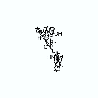 Cc1c(C)c(S(=O)(=O)NC(=N)NCCC[C@H](N)C(=O)NCC(=O)N[C@@H](CC(=O)OC(C)(C)C)C(=O)N[C@H](C(=O)N2CCC[C@H]2C(=O)O)C(C)C)c(C)c2c1OC(C)(C)C2